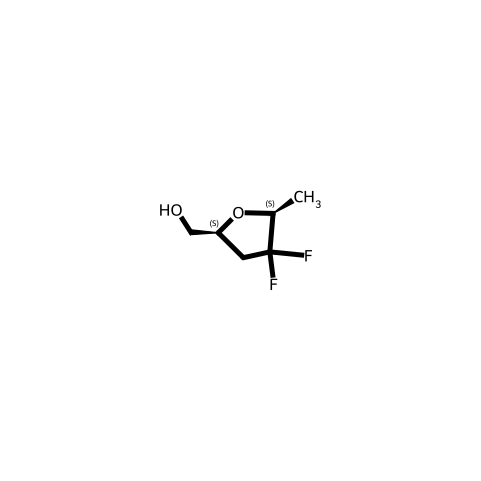 C[C@@H]1O[C@H](CO)CC1(F)F